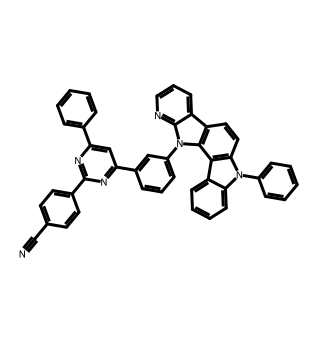 N#Cc1ccc(-c2nc(-c3ccccc3)cc(-c3cccc(-n4c5ncccc5c5ccc6c(c7ccccc7n6-c6ccccc6)c54)c3)n2)cc1